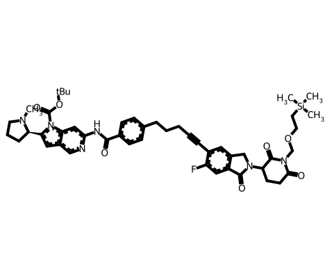 CN1CCC[C@@H]1c1cc2cnc(NC(=O)c3ccc(CCCC#Cc4cc5c(cc4F)C(=O)N(C4CCC(=O)N(COCC[Si](C)(C)C)C4=O)C5)cc3)cc2n1C(=O)OC(C)(C)C